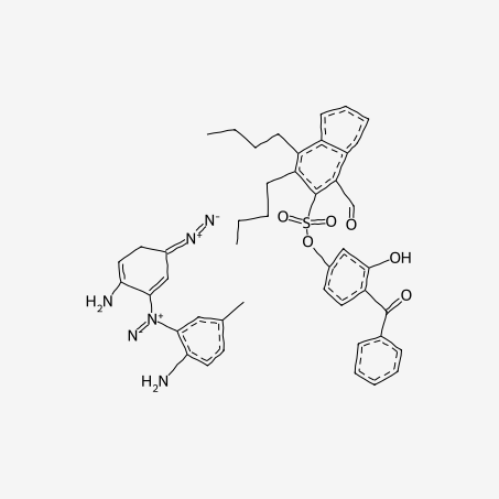 CCCCc1c(S(=O)(=O)Oc2ccc(C(=O)c3ccccc3)c(O)c2)c(C=O)c2ccccc2c1CCCC.Cc1ccc(N)c([N+](=[N-])C2=CC(=[N+]=[N-])CC=C2N)c1